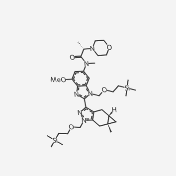 COc1cc(N(C)C(=O)[C@H](C)N2CCOCC2)cc2c1nc(-c1nn(COCC[Si](C)(C)C)c3c1C[C@@H]1C[C@]1(C)C3)n2COCC[Si](C)(C)C